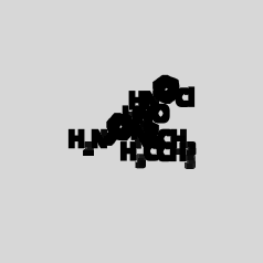 CC(C)(C)c1cc(NC(=O)Nc2cccc(Cl)c2)n(-c2cccc(CN)c2)n1